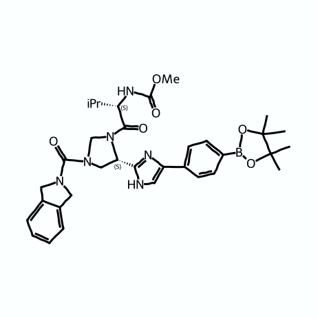 COC(=O)N[C@H](C(=O)N1CN(C(=O)N2Cc3ccccc3C2)C[C@H]1c1nc(-c2ccc(B3OC(C)(C)C(C)(C)O3)cc2)c[nH]1)C(C)C